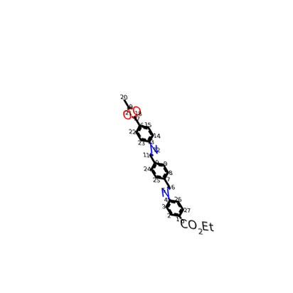 CCOC(=O)c1ccc(/N=C/c2ccc(/C=N/c3ccc(C4OC(C)O4)cc3)cc2)cc1